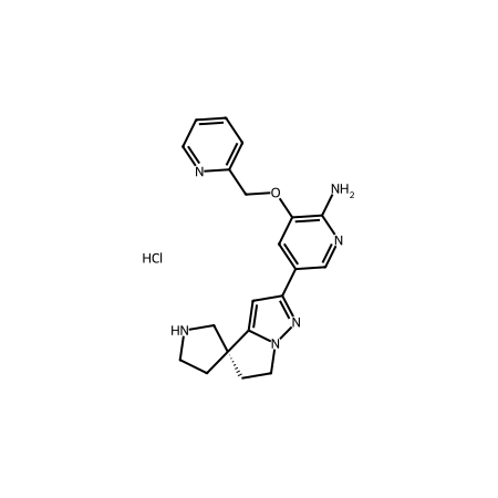 Cl.Nc1ncc(-c2cc3n(n2)CC[C@@]32CCNC2)cc1OCc1ccccn1